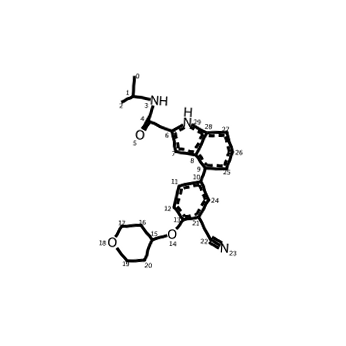 CC(C)NC(=O)c1cc2c(-c3ccc(OC4CCOCC4)c(C#N)c3)cccc2[nH]1